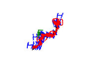 CN(CC1CCN(CCC#Cc2ccc3c(c2)n(C)c(=O)n3C2CCC(=O)NC2=O)CC1)C(=O)[C@H]1CC[C@H](n2cc(NC(=O)c3coc(-c4ccnc(NCC5CC5)c4)n3)c(C(F)F)n2)CC1